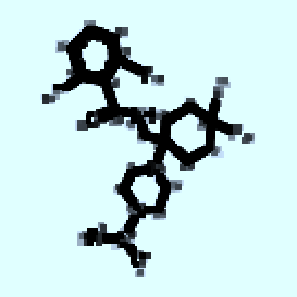 CCC[S+]([O-])N1CCN(C2(CNC(=O)c3c(F)cccc3F)CCC(F)(F)CC2)CC1